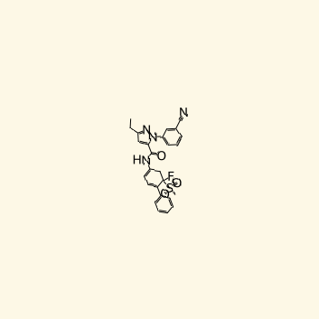 CCc1cc(C(=O)NC2=CC=C(c3ccccc3)C(F)(S(C)(=O)=O)C2)n(-c2cccc(C#N)c2)n1